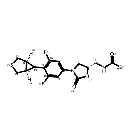 CCC(=O)NC[C@H]1CN(c2cc(F)c(C3[C@H]4CSC[C@@H]34)c(F)c2)C(=O)O1